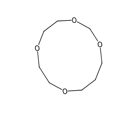 C1COCCOCCOCOC1